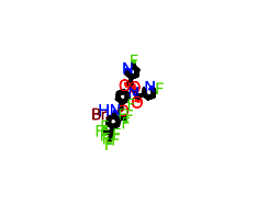 O=C(ON(C(=O)c1ccc(F)nc1)c1cccc(C(=O)Nc2c(Br)cc(C(F)(C(F)(F)F)C(F)(F)F)cc2C(F)(F)F)c1F)c1ccc(F)nc1